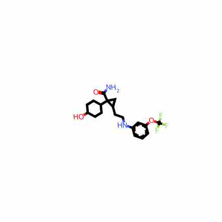 NC(=O)C1(C2CCC(O)CC2)CC1CCNc1cccc(OC(F)(F)F)c1